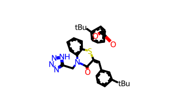 CC(C)(C)c1cc2ccc1oc2=O.CC(C)(C)c1cccc(C=C2Sc3ccccc3N(Cc3nnn[nH]3)C2=O)c1